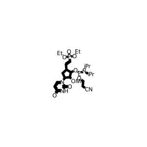 CCOP(=O)(/C=C/C1CC(n2ccc(=O)[nH]c2=O)C(OC)C1OP(OCCC#N)N(C(C)C)C(C)C)OCC